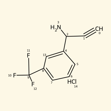 C#CC(N)c1cccc(C(F)(F)F)c1.Cl